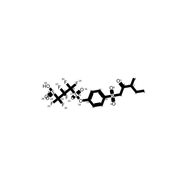 CCC(C)C(=O)CS(=O)(=O)c1ccc(OS(=O)(=O)C(F)(F)C(F)(F)C(F)(F)S(=O)(=O)O)cc1